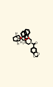 Cc1nc2ccccc2n1[C@H]1C[C@H]2CC[C@@H](C1)N2CCC1(c2ccccc2)CCN(C(=O)c2ccc3c(c2)OCO3)CC1